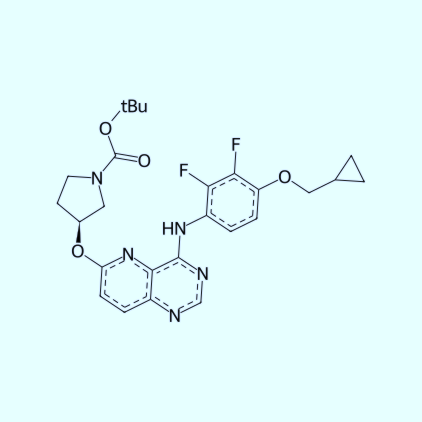 CC(C)(C)OC(=O)N1CC[C@H](Oc2ccc3ncnc(Nc4ccc(OCC5CC5)c(F)c4F)c3n2)C1